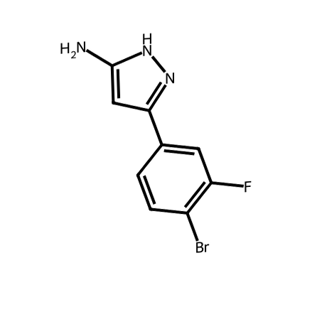 Nc1cc(-c2ccc(Br)c(F)c2)n[nH]1